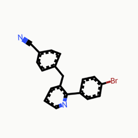 N#Cc1ccc(Cc2cccnc2-c2ccc(Br)cc2)cc1